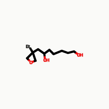 CCC1(CC(O)C[CH]CCCO)COC1